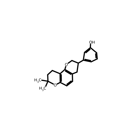 CC1(C)CCc2c(ccc3c2OCC(c2cccc(O)c2)C3)O1